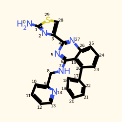 Nc1nc(-c2nc(NCc3ccccn3)c3c(-c4ccccc4)cccc3n2)cs1